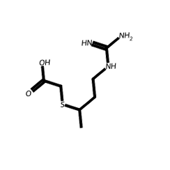 CC(CCNC(=N)N)SCC(=O)O